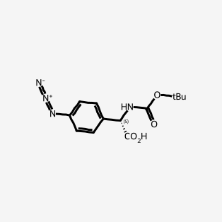 CC(C)(C)OC(=O)N[C@H](C(=O)O)c1ccc(N=[N+]=[N-])cc1